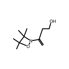 C=C(CCO)N1OC(C)(C)C1(C)C